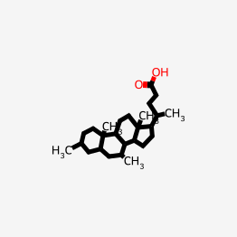 CC1CCC2(C)C(C1)CC(C)C1C2CCC2(C)C(C(C)CCC(=O)O)CCC12